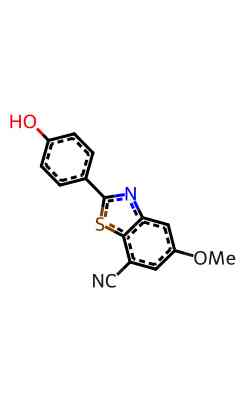 COc1cc(C#N)c2sc(-c3ccc(O)cc3)nc2c1